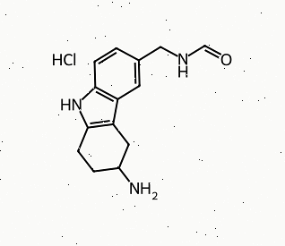 Cl.NC1CCc2[nH]c3ccc(CNC=O)cc3c2C1